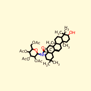 CC(=O)OCC1OC(NC(=O)[C@]23CCC(C)(C)CC2C2=CCC4[C@@]5(C)CC[C@H](O)C(C)(C)C5CC[C@@]4(C)[C@]2(C)CC3)C(OC(C)=O)[C@H](OC(C)=O)C1OC(C)=O